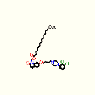 CCCCCCCCCCCCCCCCCCCCCCCC(=O)OCn1c(=O)ccc2ccc(OCCCCN3CCN(c4cccc(Cl)c4Cl)CC3)cc21